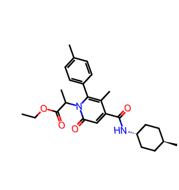 CCOC(=O)C(C)n1c(-c2ccc(C)cc2)c(C)c(C(=O)N[C@H]2CC[C@H](C)CC2)cc1=O